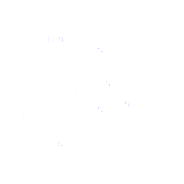 CC(Nc1nc(C(=O)N2CC(N)C2)c2sccc2n1)c1cncc(F)c1